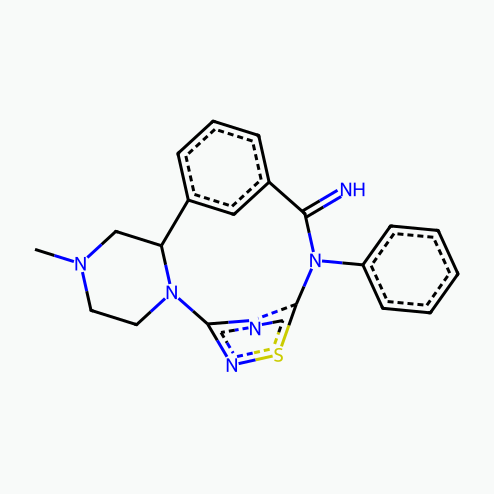 CN1CCN2c3nsc(n3)N(c3ccccc3)C(=N)c3cccc(c3)C2C1